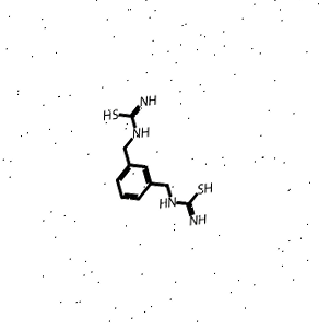 N=C(S)NCc1cccc(CNC(=N)S)c1